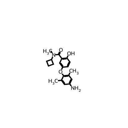 Cc1cc(N)cc(C)c1Oc1ccc(O)c(C(=O)N(C)C2CCC2)c1